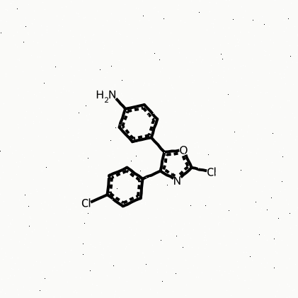 Nc1ccc(-c2oc(Cl)nc2-c2ccc(Cl)cc2)cc1